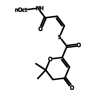 CCCCCCCCNC(=O)/C=C\SC(=O)C1=CC(=O)CC(C)(C)O1